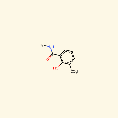 CCCNC(=O)c1cccc(C(=O)O)c1O